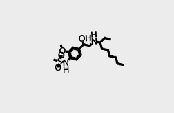 CCCCCCC(CC)NCC(O)c1ccc(NS(C)(=O)=O)c(OC)c1